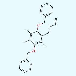 C=CCCc1c(C)c(OCc2ccccc2)c(C)c(C)c1OCc1ccccc1